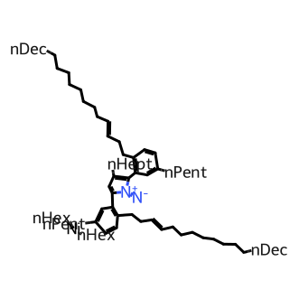 CCCCCCCCCCCCCCCCCCC=CCCc1ccc(CCCCC)cc1C1=CC(CCCCCCC)=C(c2cc(CCCCC)ccc2CCC=CCCCCCCCCCCCCCCCCCC)[N+]1=[N-].CCCCC[CH2][Ni][CH2]CCCCC